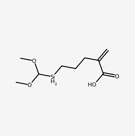 C=C(CCC[SiH2]C(OC)OC)C(=O)O